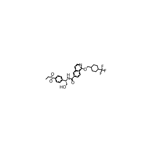 CCS(=O)(=O)c1ccc([C@H](CO)NC(=O)c2ccc3c(OCC4CCC(C(F)(F)F)CC4)nccc3c2)cc1